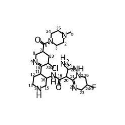 CN1CCN(C(=O)C2CN=C(C3CCNCC3NC(=O)C3C4=NCC(F)CN4NC3N)C(Cl)C2)CC1